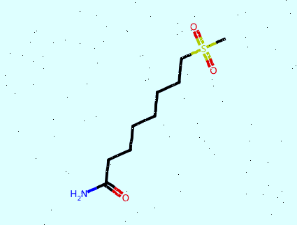 CS(=O)(=O)CCCCCCCC(N)=O